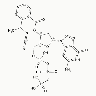 CC(N=[N+]=[N-])c1ncccc1C(=O)O[C@@H]1C[C@H](n2cnc3c(=O)[nH]c(N)nc32)O[C@@H]1COP(=O)(O)OP(=O)(O)OP(=O)(O)O